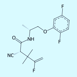 C=C(F)C(C)(C)[C@H](C#N)C(=O)N[C@H](C)COc1cc(F)ccc1F